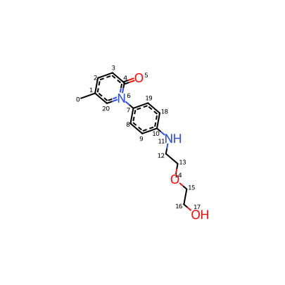 Cc1ccc(=O)n(-c2ccc(NCCOCCO)cc2)c1